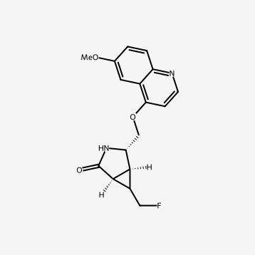 COc1ccc2nccc(OC[C@H]3NC(=O)[C@@H]4C(CF)[C@@H]43)c2c1